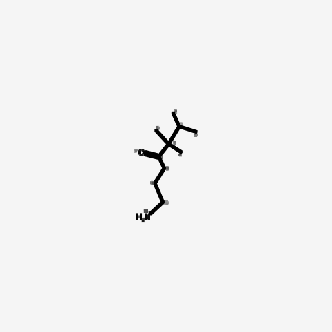 CC(C)C(C)(C)C(=O)CCCN